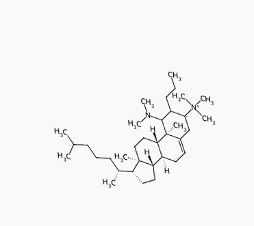 CCCC1[C]([N+](C)(C)C)CC2=CC[C@H]3[C@@H]4CC[C@H]([C@H](C)CCCC(C)C)[C@@]4(C)CC[C@@H]3[C@@]2(C)C1N(C)C